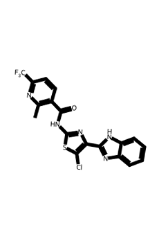 Cc1nc(C(F)(F)F)ccc1C(=O)Nc1nc(-c2nc3ccccc3[nH]2)c(Cl)s1